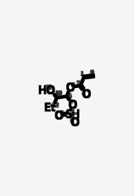 C=CC(=O)OC(O[SH](=O)=O)C(O)CC